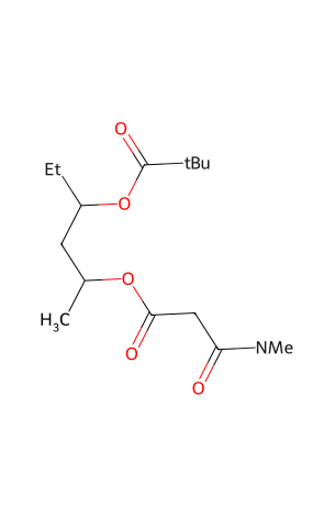 CCC(CC(C)OC(=O)CC(=O)NC)OC(=O)C(C)(C)C